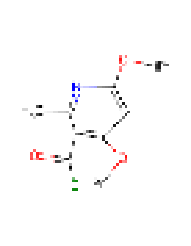 Cc1nc(OC(C)C)cc(OC(C)C)c1C(=O)Cl